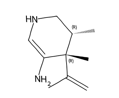 C=C(C)[C@]1(C)C(N)=CNC[C@@H]1C